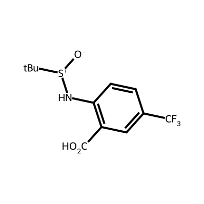 CC(C)(C)[S+]([O-])Nc1ccc(C(F)(F)F)cc1C(=O)O